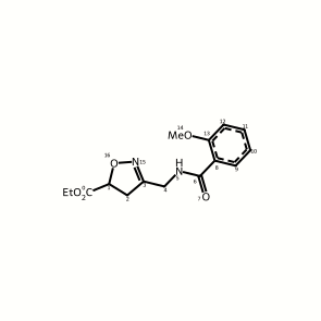 CCOC(=O)C1CC(CNC(=O)c2ccccc2OC)=NO1